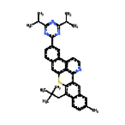 Cc1ccc2c(CC(C)(C)C)c3c(cc2c1)-c1nccc2c1c(cc1ccc(-c4nc(C(C)C)nc(C(C)C)n4)cc12)S3